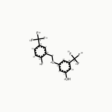 Oc1cc(OCc2cc(C(F)(F)F)ccc2F)cc(C(F)(F)F)c1